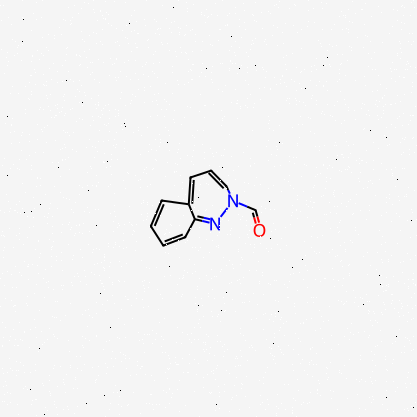 O=CN1C=CC=c2ccccc2=N1